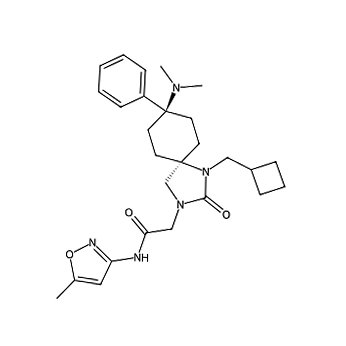 Cc1cc(NC(=O)CN2C[C@]3(CC[C@](c4ccccc4)(N(C)C)CC3)N(CC3CCC3)C2=O)no1